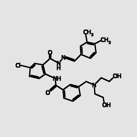 Cc1ccc(C=NNC(=O)c2cc(Cl)ccc2NC(=O)c2cccc(CN(CCO)CCO)c2)cc1C